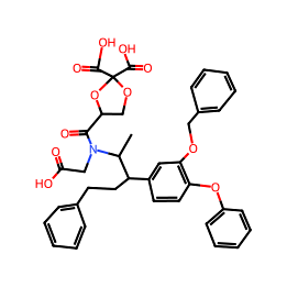 CC(C(CCc1ccccc1)c1ccc(Oc2ccccc2)c(OCc2ccccc2)c1)N(CC(=O)O)C(=O)C1COC(C(=O)O)(C(=O)O)O1